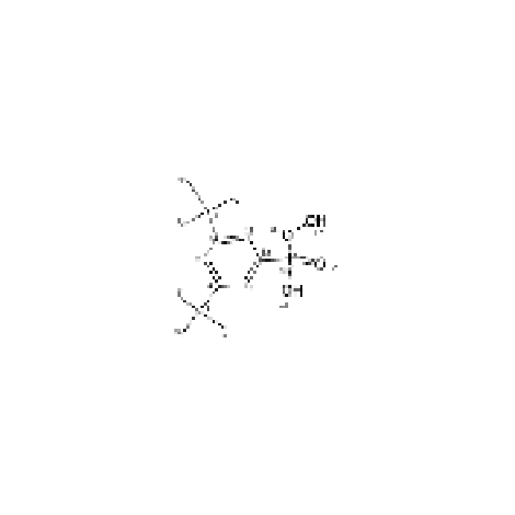 CC(C)(C)c1cc(C(C)(C)C)cc(P(=O)(O)OO)c1